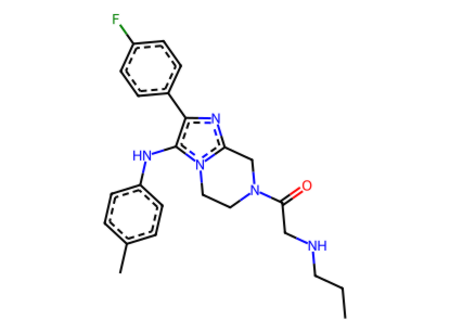 CCCNCC(=O)N1CCn2c(nc(-c3ccc(F)cc3)c2Nc2ccc(C)cc2)C1